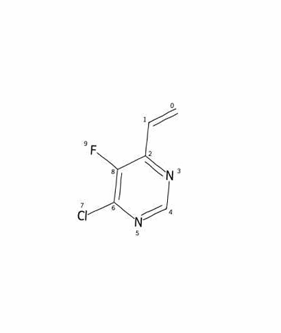 C=Cc1ncnc(Cl)c1F